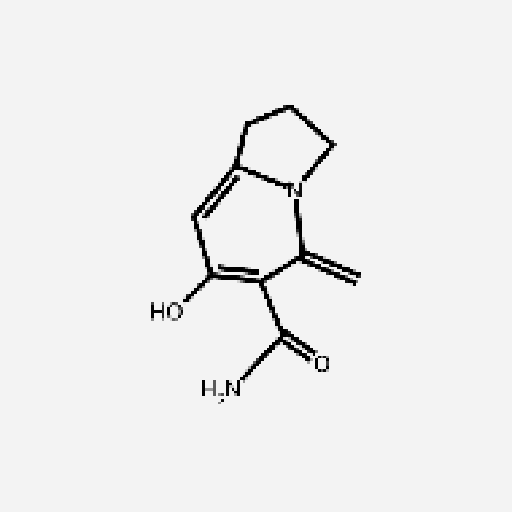 C=C1C(C(N)=O)=C(O)C=C2CCCN12